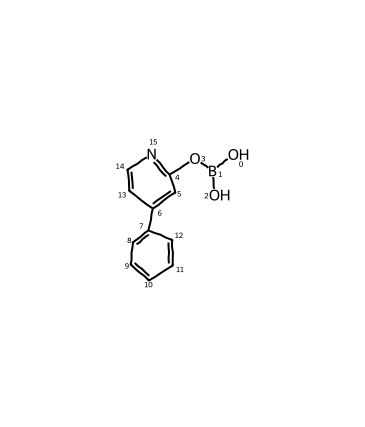 OB(O)Oc1cc(-c2ccccc2)ccn1